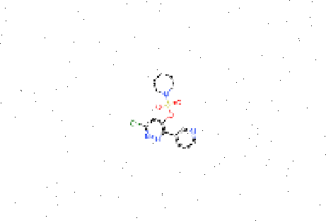 O=S(=O)(Oc1cc(Cl)nnc1-c1cccnc1)N1CCCCC1